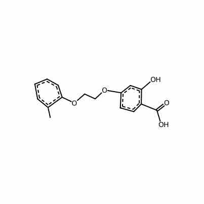 Cc1ccccc1OCCOc1ccc(C(=O)O)c(O)c1